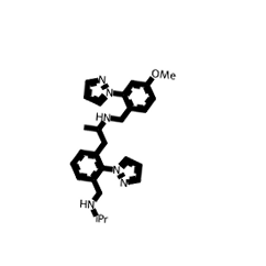 COc1ccc(CNC(C)Cc2cccc(CNC(C)C)c2-n2cccn2)c(-n2cccn2)c1